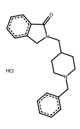 Cl.O=C1c2ccccc2CN1CC1CCN(Cc2ccccc2)CC1